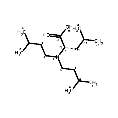 CC(C)CCN(CCC(C)C)[C@@H](CC(C)C)C(=O)O